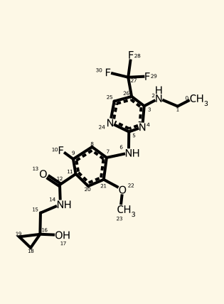 CCNc1nc(Nc2cc(F)c(C(=O)NCC3(O)CC3)cc2OC)ncc1C(F)(F)F